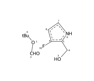 CC(C)(C)OC=O.OCc1[nH]ccc1F